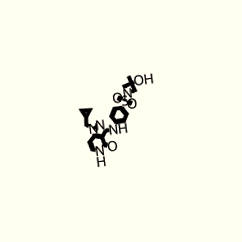 CC1(O)CN(S(=O)(=O)c2ccc(Nc3nn(CC4CC4)c4cc[nH]c(=O)c34)cc2)C1